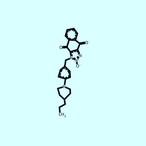 CCCC1CCN(c2ccc(Cn3c4c(n[n+]3[O-])C(=O)c3ccccc3C4=O)cc2)CC1